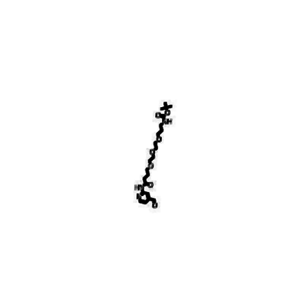 CC(C)(C)OC(=O)NCCCOCCOCCOCCCC(=O)Nc1cc(C=O)ccn1